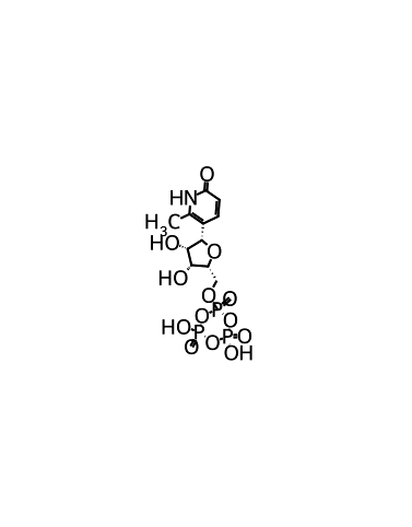 Cc1[nH]c(=O)ccc1[C@@H]1O[C@H](COP2(=O)OP(=O)(O)OP(=O)(O)O2)[C@H](O)[C@@H]1O